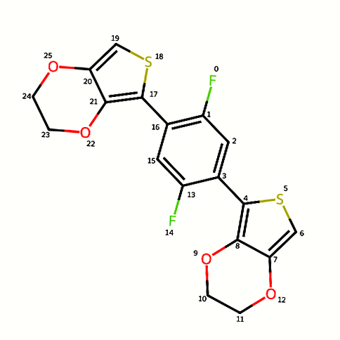 Fc1cc(-c2scc3c2OCCO3)c(F)cc1-c1scc2c1OCCO2